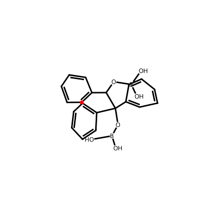 OB(O)OC(c1ccccc1)C(OB(O)O)(c1ccccc1)c1ccccc1